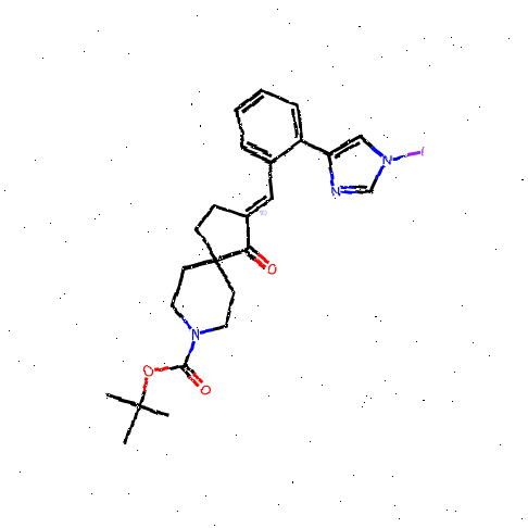 CC(C)(C)OC(=O)N1CCC2(CC/C(=C\c3ccccc3-c3cn(I)cn3)C2=O)CC1